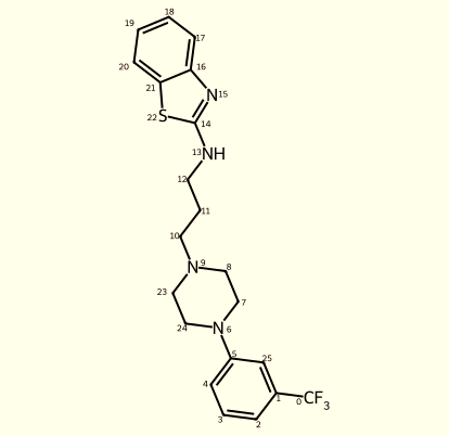 FC(F)(F)c1cccc(N2CCN(CCCNc3nc4ccccc4s3)CC2)c1